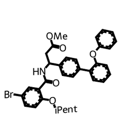 CCCC(C)Oc1ccc(Br)cc1C(=O)NC(CC(=O)OC)c1ccc(-c2ccccc2Oc2ccccc2)cc1